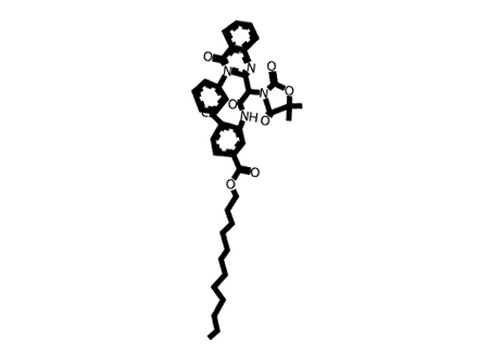 CCCCCCCCCCCCOC(=O)c1ccc(Cl)c(NC(=O)C(c2nc3ccccc3c(=O)n2-c2ccccc2)N2C(=O)OC(C)(C)C2=O)c1